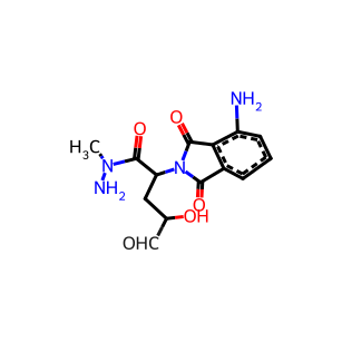 CN(N)C(=O)C(CC(O)C=O)N1C(=O)c2cccc(N)c2C1=O